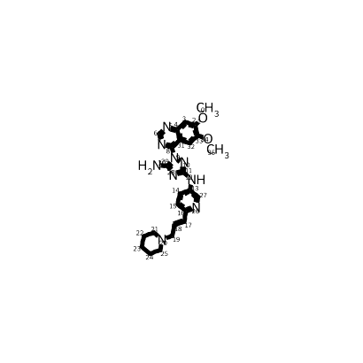 COc1cc2ncnc(-n3nc(Nc4ccc(C=CCN5CCCCC5)nc4)nc3N)c2cc1OC